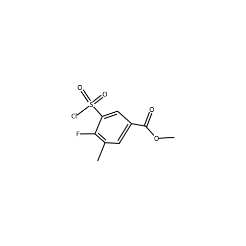 COC(=O)c1cc(C)c(F)c(S(=O)(=O)Cl)c1